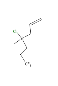 C=CC[Si](C)(Cl)CCC(F)(F)F